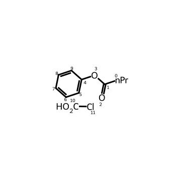 CCCC(=O)Oc1ccccc1.O=C(O)Cl